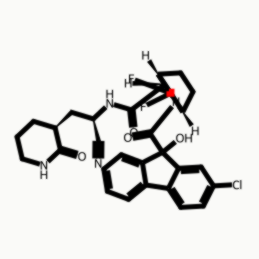 N#C[C@@H](C[C@@H]1CCCNC1=O)NC(=O)[C@@H]1[C@@H]2CC[C@@H](CC2(F)F)N1C(=O)C1(O)c2ccccc2-c2ccc(Cl)cc21